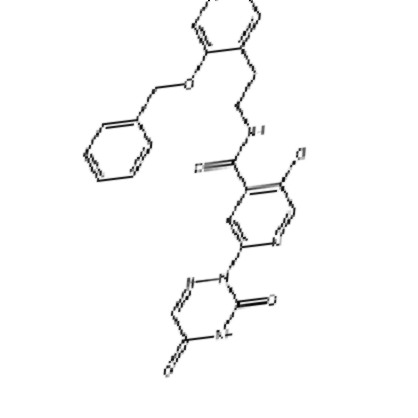 O=C(NCCc1ccccc1OCc1ccccc1)c1cc(-n2ncc(=O)[nH]c2=O)ncc1Cl